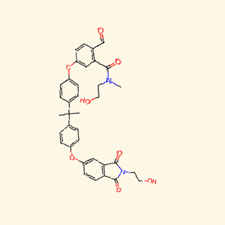 CN(CCO)C(=O)c1cc(Oc2ccc(C(C)(C)c3ccc(Oc4ccc5c(c4)C(=O)N(CCO)C5=O)cc3)cc2)ccc1C=O